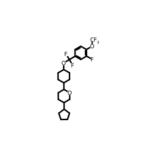 Fc1cc(C(F)(F)OC2CCC(C3CCC(C4CCCC4)CO3)CC2)ccc1OC(F)(F)F